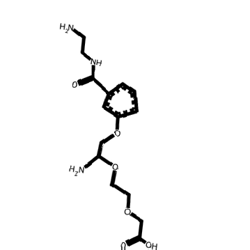 NCCNC(=O)c1cccc(OCC(N)OCCOCC(=O)O)c1